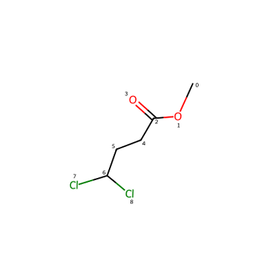 COC(=O)CCC(Cl)Cl